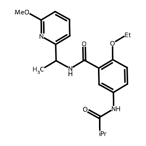 CCOc1ccc(NC(=O)C(C)C)cc1C(=O)NC(C)c1cccc(OC)n1